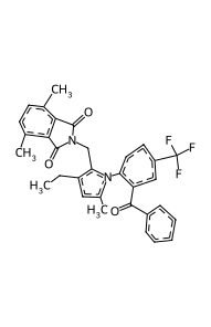 CCc1cc(C)n(-c2ccc(C(F)(F)F)cc2C(=O)c2ccccc2)c1CN1C(=O)c2c(C)ccc(C)c2C1=O